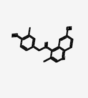 Cc1cc(CNc2c(C)cnc3ccc(C#N)cc23)ccc1O